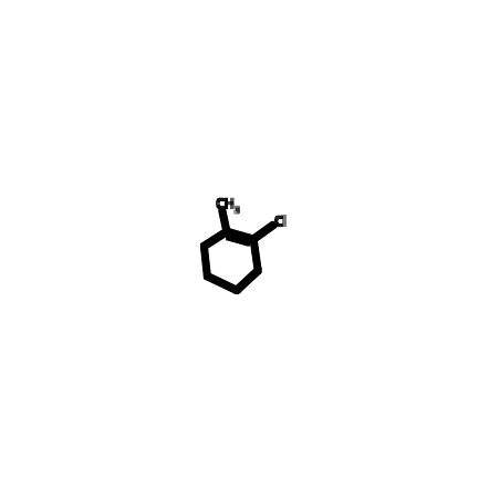 CC1=C(Cl)CCCC1